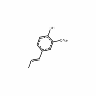 CC=Cc1ccc(O)c(OC)c1